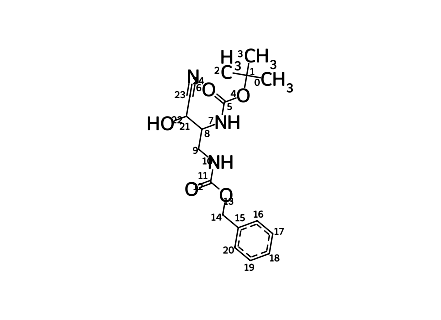 CC(C)(C)OC(=O)NC(CNC(=O)OCc1ccccc1)C(O)C#N